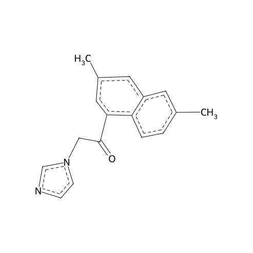 Cc1ccc2c(C(=O)Cn3ccnc3)cc(C)cc2c1